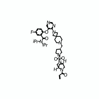 C=CC(=O)N1C[C@@H]2C[C@H]1CN2S(=O)(=O)N1CC[C@@H](CN2CCC3(CC2)CN(c2ncncc2Oc2ccc(F)cc2C(=O)N(C(C)C)C(C)C)C3)C1